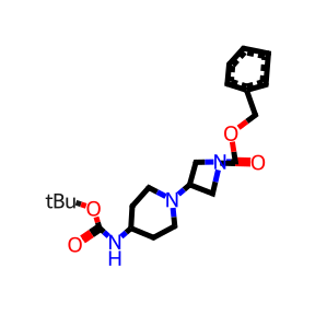 CC(C)(C)OC(=O)NC1CCN(C2CN(C(=O)OCc3ccccc3)C2)CC1